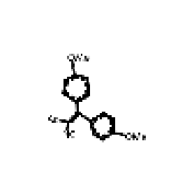 [C-]#[N+]C(C(C)=O)=C(c1ccc(OC)cc1)c1ccc(OC)cc1